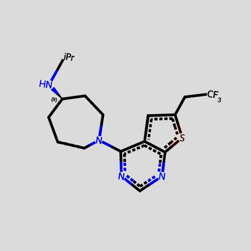 CC(C)N[C@@H]1CCCN(c2ncnc3sc(CC(F)(F)F)cc23)CC1